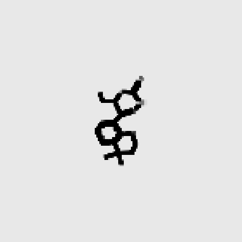 CCC1SC(=O)NN=C1c1cccc2c1NCCC2(C)C